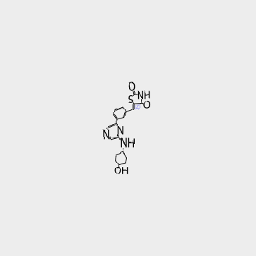 O=C1NC(=O)/C(=C/c2cccc(-c3cncc(N[C@H]4CC[C@H](O)CC4)n3)c2)S1